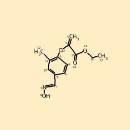 C=C(Oc1ccc(/C=N/O)cc1C)C(=O)OCC